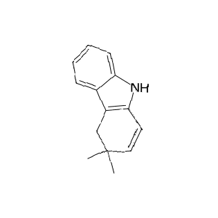 CC1(C)C=Cc2[nH]c3ccccc3c2C1